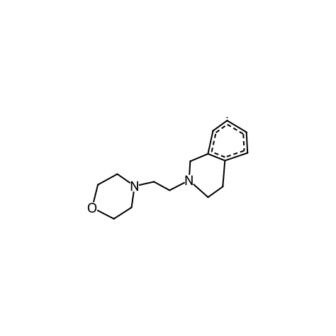 [c]1ccc2c(c1)CN(CCN1CCOCC1)CC2